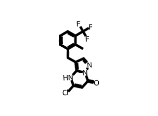 Cc1c(Cc2cnn3c(=O)cc(Cl)[nH]c23)cccc1C(F)(F)F